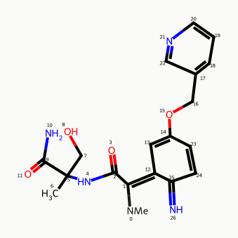 CN/C(C(=O)NC(C)(CO)C(N)=O)=C1/C=C(OCc2cccnc2)C=CC1=N